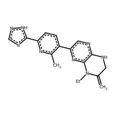 C=C1CNc2ncc(-c3ccc(-c4ncn[nH]4)nc3C)nc2N1CC